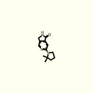 CC1(C)CCCN1c1cc2c(cn1)CNC2=O